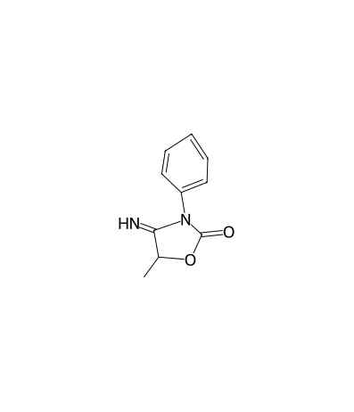 CC1OC(=O)N(c2ccccc2)C1=N